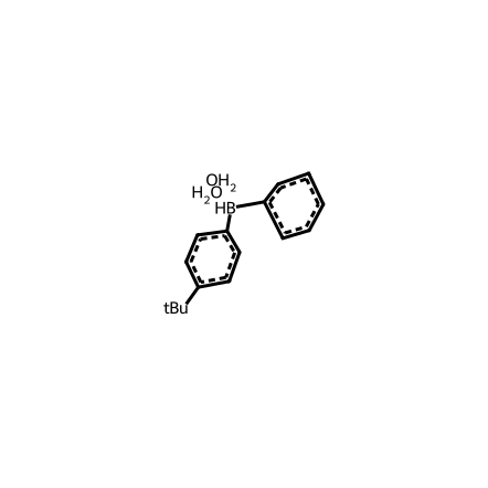 CC(C)(C)c1ccc(Bc2ccccc2)cc1.O.O